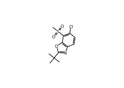 CC(C)(C)c1nc2ccc(Cl)c(S(C)(=O)=O)c2o1